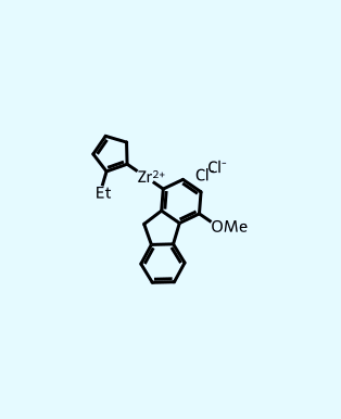 CCC1=[C]([Zr+2][c]2ccc(OC)c3c2Cc2ccccc2-3)CC=C1.[Cl-].[Cl-]